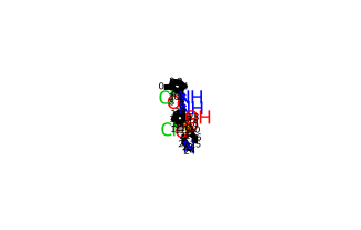 Cc1cccc(NC(=O)Nc2ccc(Cl)c(S(=O)(=O)C3(C)CCN(C)CC3)c2O)c1Cl